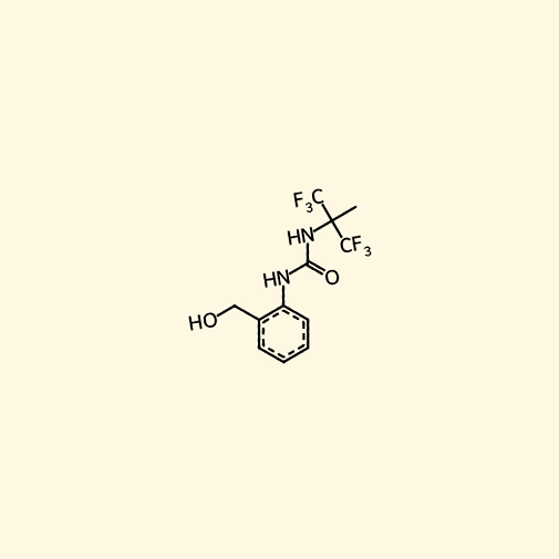 CC(NC(=O)Nc1ccccc1CO)(C(F)(F)F)C(F)(F)F